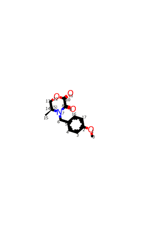 COc1ccc(CN2C(=O)C(=O)OC[C@@H]2C)cc1